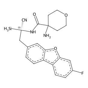 N#C[C@@]([SiH3])(Cc1ccc2c(c1)oc1cc(F)ccc12)NC(=O)C1(N)CCOCC1